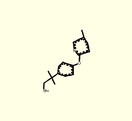 Cc1ccc(Oc2ccc(C(C)(C)CC(C)(C)C)cc2)nc1